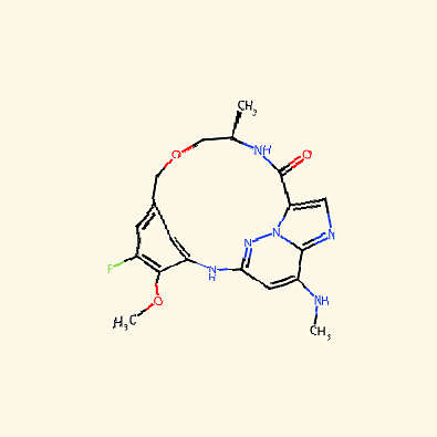 CNc1cc2nn3c(cnc13)C(=O)N[C@H](C)COCc1cc(F)c(OC)c(c1)N2